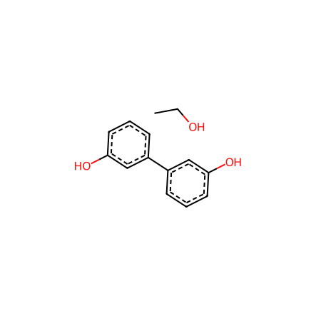 CCO.Oc1cccc(-c2cccc(O)c2)c1